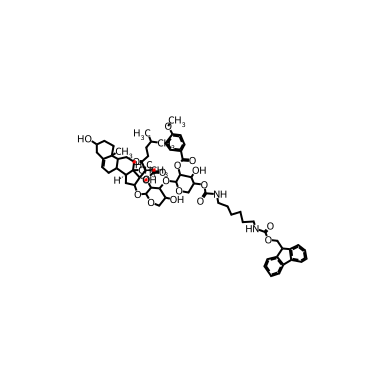 COc1ccc(C(=O)OC2C(OC3C(O)COC(OC4C[C@H]5C6CC=C7CC(O)CCC7(C)C6CCC5(C)[C@@]4(O)[C@H](C)C(=O)CCC(C)C)C3OC(C)=O)OCC(OC(=O)NCCCCCCNC(=O)OCC3c4ccccc4-c4ccccc43)C2O)cc1